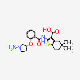 CC1(C)CCc2sc(NC(=O)c3ccccc3O[C@@H]3CCN(N)C3)c(C(=O)O)c2C1